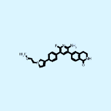 COCCN1CC=C(c2ccc(-c3cc(-c4ccc5c(c4)CCNC5=O)c(N)nc3F)cc2)C1